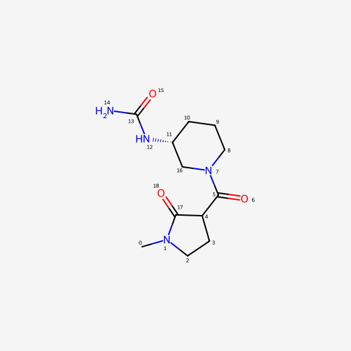 CN1CCC(C(=O)N2CCC[C@@H](NC(N)=O)C2)C1=O